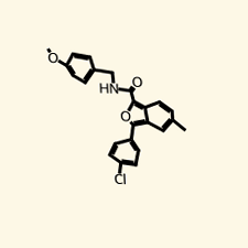 COc1ccc(CNC(=O)c2oc(-c3ccc(Cl)cc3)c3cc(C)ccc23)cc1